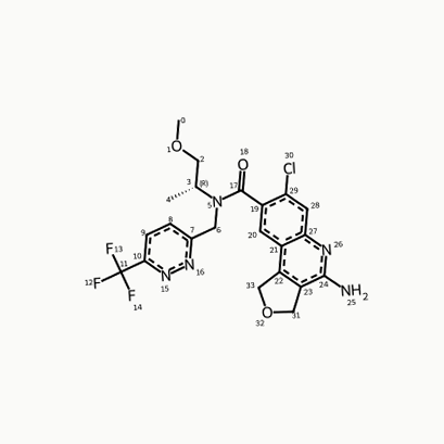 COC[C@@H](C)N(Cc1ccc(C(F)(F)F)nn1)C(=O)c1cc2c3c(c(N)nc2cc1Cl)COC3